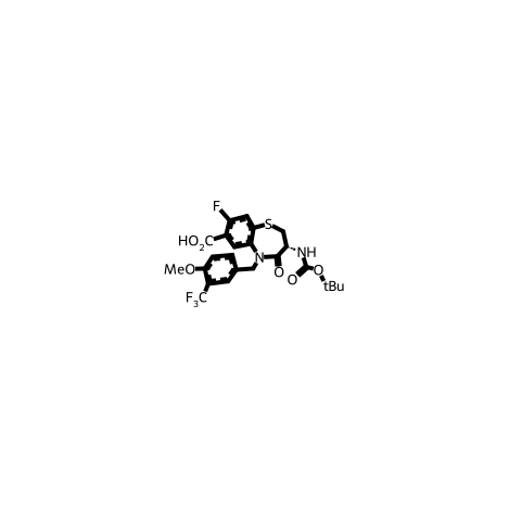 COc1ccc(CN2C(=O)[C@@H](NC(=O)OC(C)(C)C)CSc3cc(F)c(C(=O)O)cc32)cc1C(F)(F)F